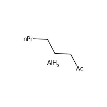 CCCCCCC(C)=O.[AlH3]